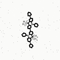 CC1(C)c2ccc(-c3ccc4c(c3)N(c3ccccc3)c3ccc(-c5ccccc5)cc3C4(C)C)cc2N(c2ccccc2)c2ccc(-c3ccccc3)cc21